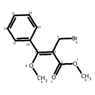 COC(=O)/C(CBr)=C(\OC)c1ccccc1